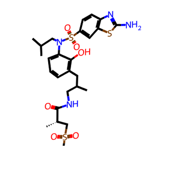 CC(C)CN(c1cccc(CC(C)CNC(=O)[C@@H](C)CS(C)(=O)=O)c1O)S(=O)(=O)c1ccc2nc(N)sc2c1